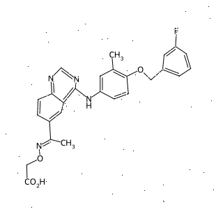 C/C(=N\OCC(=O)O)c1ccc2ncnc(Nc3ccc(OCc4cccc(F)c4)c(C)c3)c2c1